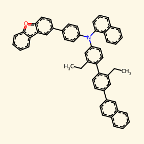 CCc1cc(-c2ccc3ccccc3c2)ccc1-c1ccc(N(c2ccc(-c3ccc4oc5ccccc5c4c3)cc2)c2cccc3ccccc23)cc1CC